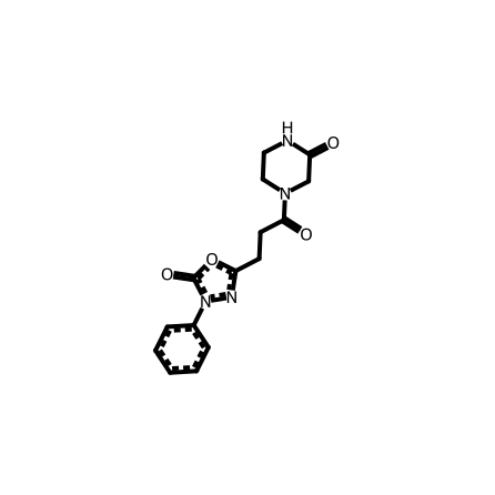 O=C1CN(C(=O)CCc2nn(-c3ccccc3)c(=O)o2)CCN1